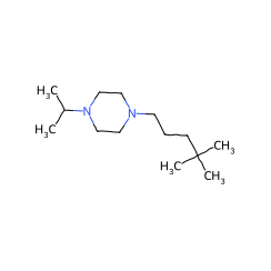 CC(C)N1CCN(CCCC(C)(C)C)CC1